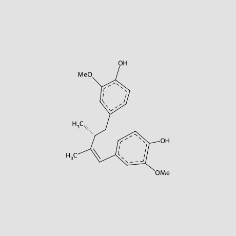 COc1cc(/C=C(/C)[C@H](C)Cc2ccc(O)c(OC)c2)ccc1O